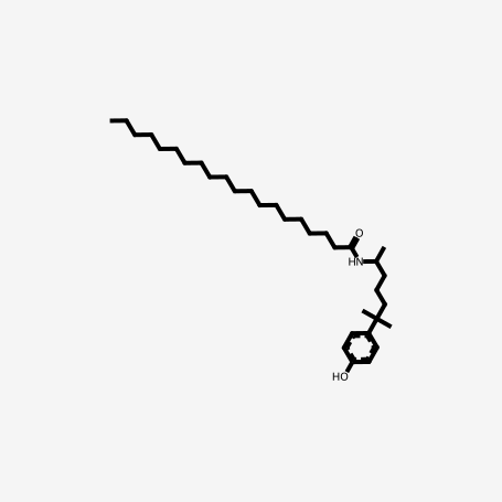 CCCCCCCCCCCCCCCCCCCC(=O)NC(C)CCCC(C)(C)c1ccc(O)cc1